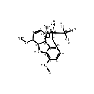 [2H]OC1C=C[C@]2([2H])[C@@]34CCN(C([2H])([2H])[2H])[C@]2([2H])Cc2ccc(OC)c(c23)OC14